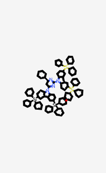 c1ccc(-c2cc(-n3c4ccc([Si](c5ccccc5)(c5ccccc5)c5ccccc5)cc4c4cc([Si](c5ccccc5)(c5ccccc5)c5ccccc5)ccc43)nc(-n3c4ccc(S(c5ccccc5)(c5ccccc5)c5ccccc5)cc4c4cc(S(c5ccccc5)(c5ccccc5)c5ccccc5)ccc43)n2)cc1